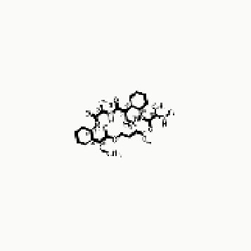 CCCCOC(=O)[C@H](CC)[C@H]1CCCC[C@H]1NC(=O)[C@@H](C)NC(=O)[C@H](CC)[C@H]1CCCC[C@H]1NC(=O)[C@@H](C)NCl